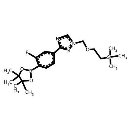 CC1(C)OB(c2ccc(-c3ncn(COCC[Si](C)(C)C)n3)cc2F)OC1(C)C